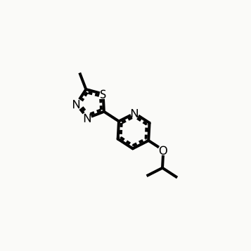 Cc1nnc(-c2ccc(OC(C)C)cn2)s1